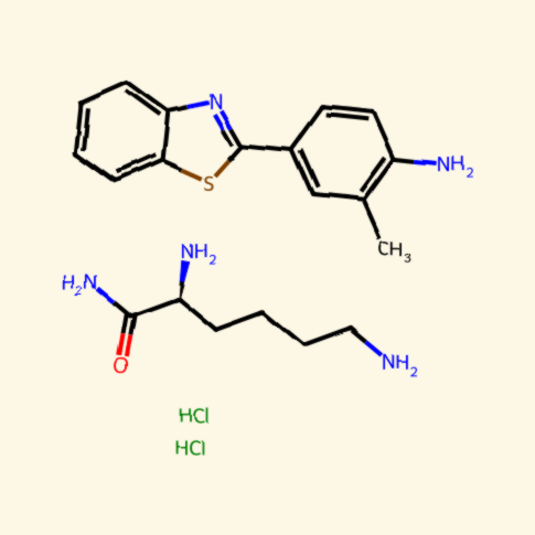 Cc1cc(-c2nc3ccccc3s2)ccc1N.Cl.Cl.NCCCC[C@H](N)C(N)=O